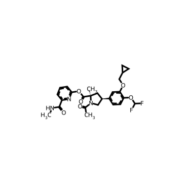 CNC(=O)c1cccc(OC(=O)[C@@]2(C)C[C@@H](c3ccc(OC(F)F)c(OCC4CC4)c3)CN2C(C)=O)n1